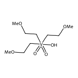 COC[CH2][V](=[O])(=[O])([OH])([CH2]COC)[CH2]COC